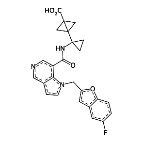 O=C(NC1(C23CC2(C(=O)O)C3)CC1)c1cncc2ccn(Cc3cc4cc(F)ccc4o3)c12